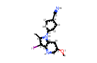 COc1cnc2c(I)c(C)n(-c3ccc(C#N)cc3)c2c1